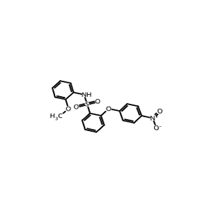 COc1ccccc1NS(=O)(=O)c1ccccc1Oc1ccc([N+](=O)[O-])cc1